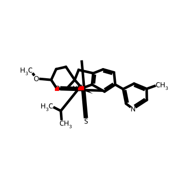 COC1CCC2(CC1)Cc1ccc(-c3cncc(C)c3)cc1C21NC(=S)N(C(C)C)C1=O